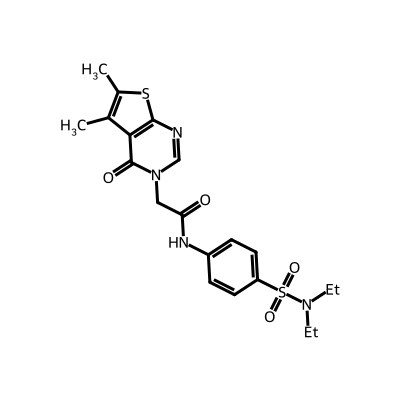 CCN(CC)S(=O)(=O)c1ccc(NC(=O)Cn2cnc3sc(C)c(C)c3c2=O)cc1